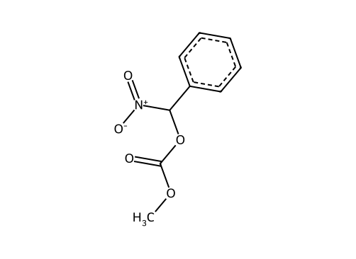 COC(=O)OC(c1ccccc1)[N+](=O)[O-]